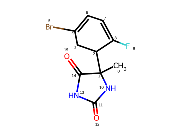 CC1(C2CC(Br)=CC=C2F)NC(=O)NC1=O